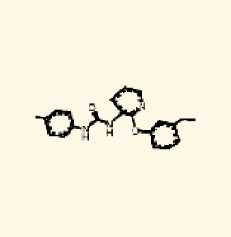 CCc1cccc(Oc2ncccc2NC(=O)Nc2ccc(C)cc2)c1